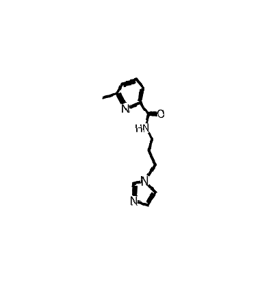 Cc1cccc(C(=O)NCCCn2ccnc2)n1